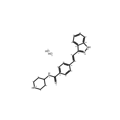 Cl.Cl.O=C(NC1CCNCC1)c1ccc(C=Cc2n[nH]c3ccccc23)cc1